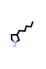 [CH2]CCCCC1CCNC1